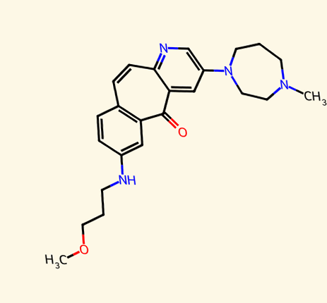 COCCCNc1ccc2ccc3ncc(N4CCCN(C)CC4)cc3c(=O)c2c1